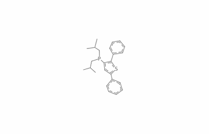 CC(C)CP(CC(C)C)c1cc(-c2ccccc2)sc1-c1ccccc1